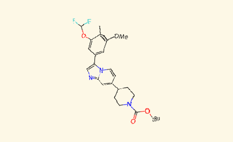 COc1cc(-c2cnc3cc(C4CCN(C(=O)OC(C)(C)C)CC4)ccn23)cc(OC(F)F)c1C